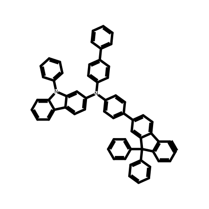 c1ccc2c(c#1)-c1ccc(-c3ccc(N(c4ccc(-c5ccccc5)cc4)c4ccc5c6ccccc6n(-c6ccccc6)c5c4)cc3)cc1C2(c1ccccc1)c1ccccc1